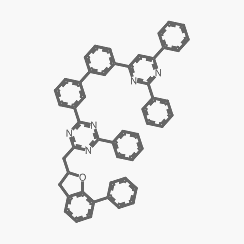 c1ccc(-c2cc(-c3cccc(-c4cccc(-c5nc(CC6Cc7cccc(-c8ccccc8)c7O6)nc(-c6ccccc6)n5)c4)c3)nc(-c3ccccc3)n2)cc1